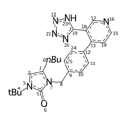 CCCCc1cn(C(C)(C)C)c(=O)n1Cc1ccc(-c2ccncc2-c2nnn[nH]2)cc1